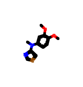 COc1ccc(N(C)c2cs[c]n2)cc1OC